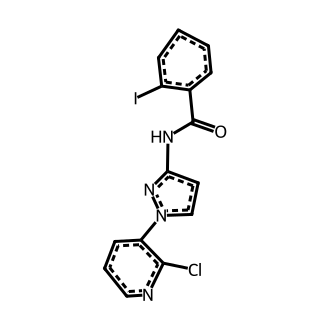 O=C(Nc1ccn(-c2cccnc2Cl)n1)c1ccccc1I